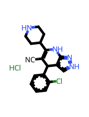 Cl.N#CC1=C(C2CCNCC2)Nc2n[nH]cc2C1c1ccccc1Cl